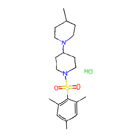 Cc1cc(C)c(S(=O)(=O)N2CCC(N3CCC(C)CC3)CC2)c(C)c1.Cl